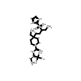 CCC(CCC1(CC)CCN(C(=O)O[C@H](CO)C(F)(F)F)CC1)S(=O)(=O)c1nccs1